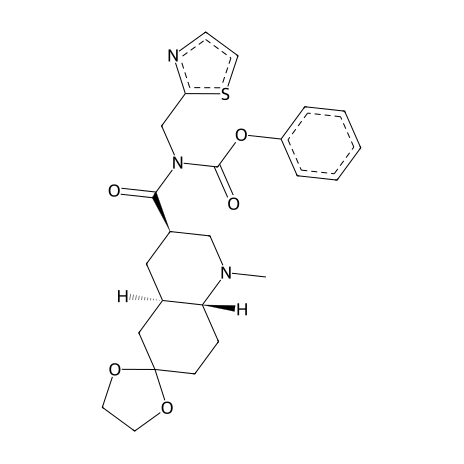 CN1C[C@H](C(=O)N(Cc2nccs2)C(=O)Oc2ccccc2)C[C@@H]2CC3(CC[C@H]21)OCCO3